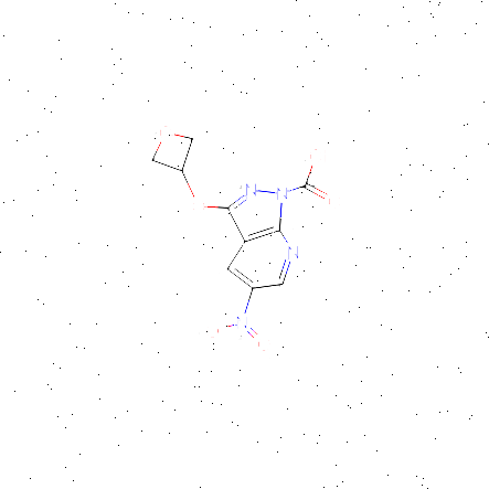 O=C(O)n1nc(OC2COC2)c2cc([N+](=O)[O-])cnc21